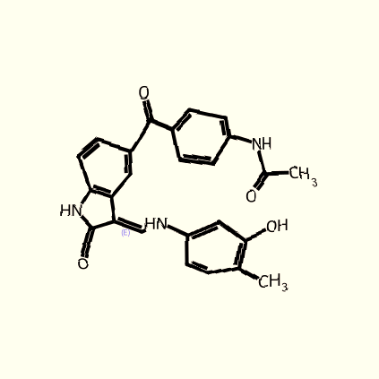 CC(=O)Nc1ccc(C(=O)c2ccc3c(c2)/C(=C\Nc2ccc(C)c(O)c2)C(=O)N3)cc1